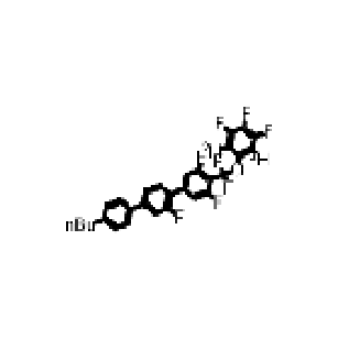 [2H]c1c(F)c(F)c(F)c([2H])c1OC(F)(F)c1c(F)cc(-c2ccc(-c3ccc(CCCC)cc3)cc2F)cc1F